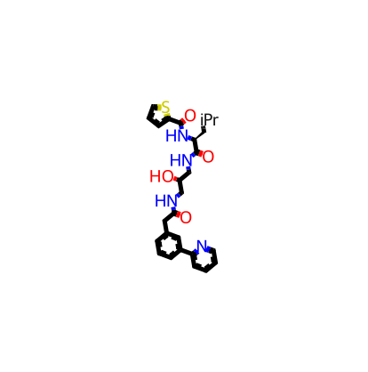 CC(C)C[C@H](NC(=O)c1cccs1)C(=O)NCC(O)CNC(=O)Cc1cccc(-c2ccccn2)c1